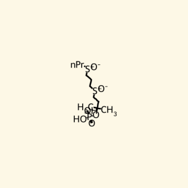 [CH2]CC[S+]([O-])CCC[S+]([O-])CCC(C)(C)OP(=O)(O)O